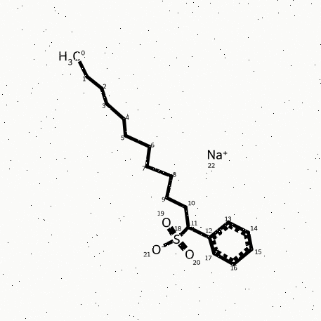 CCCCCCCCCCCC(c1ccccc1)S(=O)(=O)[O-].[Na+]